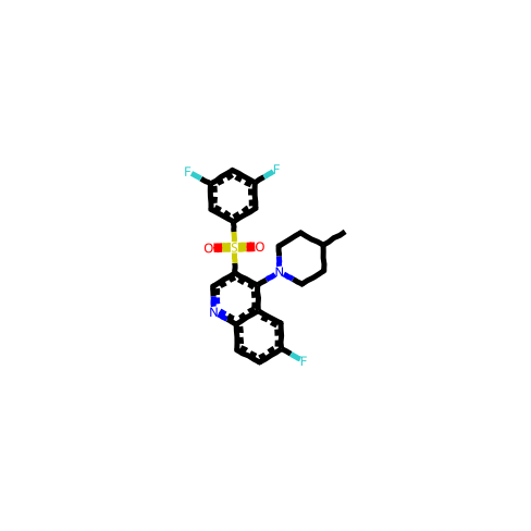 CC1CCN(c2c(S(=O)(=O)c3cc(F)cc(F)c3)cnc3ccc(F)cc23)CC1